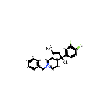 N#CCCC(C#N)(c1ccc(F)c(F)c1)C1CCN(Cc2ccccc2)CC1